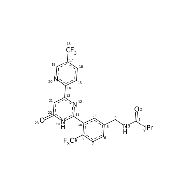 CC(C)C(=O)NCc1ccc(C(F)(F)F)c(-c2nc(-c3ccc(C(F)(F)F)cn3)cc(=O)[nH]2)c1